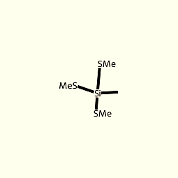 CS[Si](C)(SC)SC